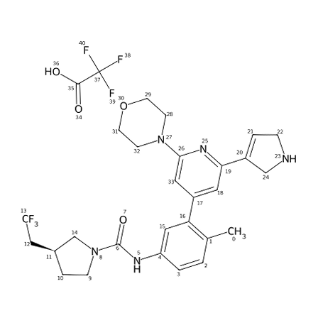 Cc1ccc(NC(=O)N2CC[C@@H](CC(F)(F)F)C2)cc1-c1cc(C2=CCNC2)nc(N2CCOCC2)c1.O=C(O)C(F)(F)F